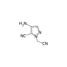 N#CCn1ncc(N)c1C#N